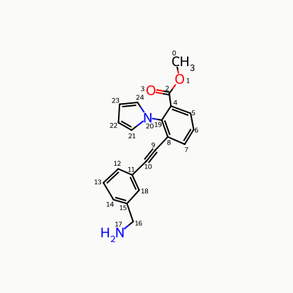 COC(=O)c1cccc(C#Cc2cccc(CN)c2)c1-n1cccc1